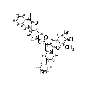 Cc1cc(CC(NC(=O)ON2CCC(N3Cc4ccccc4NC3=O)CC2)C(=O)N2CCN(c3ccncc3)CC2)cc(Br)c1Cl